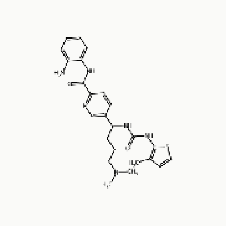 Cc1ccsc1NC(=O)NC(CCCN(C)C)c1ccc(C(=O)Nc2ccccc2N)nc1